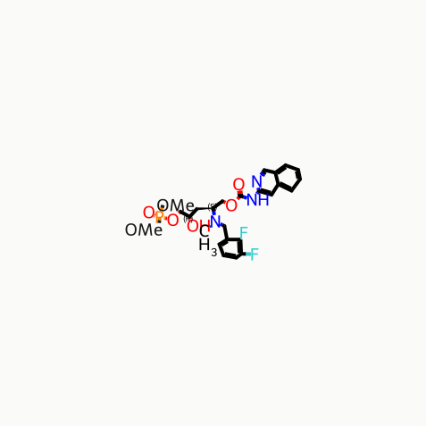 COP(=O)(OC)OC[C@H](O)C[C@@H](COC(=O)Nc1cc2ccccc2cn1)N(C)Cc1cccc(F)c1F